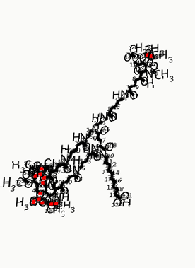 CC(=O)NC1C(C(=O)CCCC(=O)NCCCCC(=O)NCCN(CCNC(=O)CCCCNC(=O)CCCC(=O)C2OC(COC(C)=O)C(OC(C)=O)C(OC(C)=O)C2NC(C)=O)C(=O)CC[C@H](NC(=O)CCCCNC(=O)CCCC(=O)C2OC(COC(C)=O)C(OC(C)=O)C(OC(C)=O)C2NC(C)=O)C(=O)NCCCCCCCCCCC(=O)O)OC(COC(C)=O)C(OC(C)=O)C1OC(C)=O